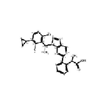 CC(C(=O)O)c1ccccc1-c1ncc2nnn([C@H](C)c3c(Cl)ccc(C4CC4)c3Cl)c2n1